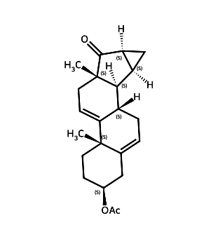 CC(=O)O[C@H]1CC[C@@]2(C)C(=CC[C@@H]3C2=CC[C@]2(C)C(=O)[C@H]4C[C@H]4[C@@H]32)C1